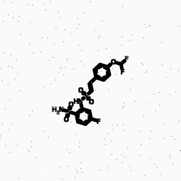 NS(=O)(=O)c1ccc(F)cc1NS(=O)(=O)/C=C/c1ccc(OC(F)F)cc1